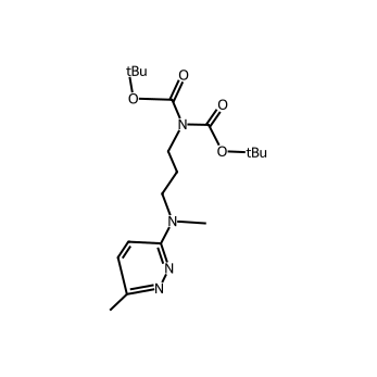 Cc1ccc(N(C)CCCN(C(=O)OC(C)(C)C)C(=O)OC(C)(C)C)nn1